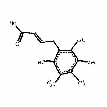 Cc1c(C)c(O)c(C/C=C/C(=O)O)c(C)c1O